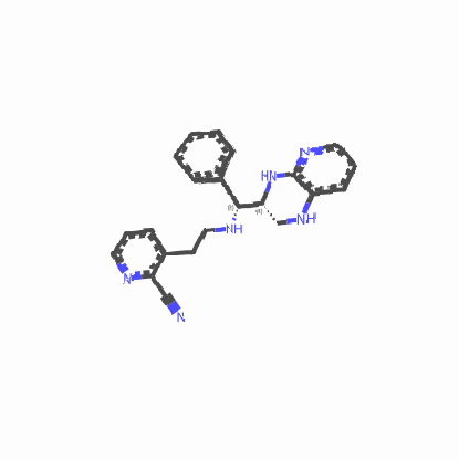 N#Cc1ncccc1CCN[C@H](c1ccccc1)[C@H]1CNc2cccnc2N1